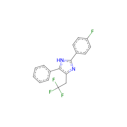 Fc1ccc(-c2nc(CC(F)(F)F)c(-c3ccccc3)[nH]2)cc1